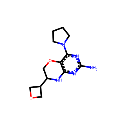 Nc1nc2c(c(N3CCCC3)n1)OCC(C1COC1)N2